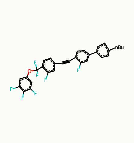 CCCCc1ccc(-c2ccc(C#Cc3ccc(C(F)(F)Oc4cc(F)c(F)c(F)c4)c(F)c3)c(F)c2)cc1